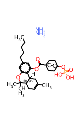 CCCCCc1cc(OC(=O)C23CCC(OP(=O)(O)O)(CC2)CC3)c2c(c1)OC(C)(C)[C@@H]1CC=C(C)C[C@@H]21.N.N